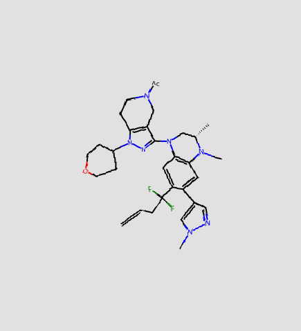 C=CCC(F)(F)c1cc2c(cc1-c1cnn(C)c1)N(C)[C@@H](C)CN2c1nn(C2CCOCC2)c2c1CN(C(C)=O)CC2